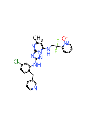 Cc1cc(NCC(F)(F)c2cccc[n+]2[O-])n2nc(Nc3cc(Cl)ccc3Cc3cccnc3)nc2n1